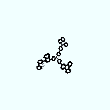 c1ccc(N(c2ccc(-c3ccc(N(c4ccc(-c5ccc6c7ccccc7c7ccccc7c6c5)cc4)c4ccc(-c5ccc(-c6cccc7c6sc6ccccc67)c6ccccc56)cc4)cc3)cc2)c2cccc3ccccc23)cc1